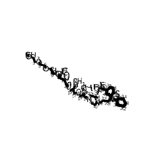 COCCOCCOCCOCC(COCC(COCC(CN1CCN(CCCN2c3ccccc3Sc3ccc(C(F)(F)F)cc32)CC1)OC)OC)OC